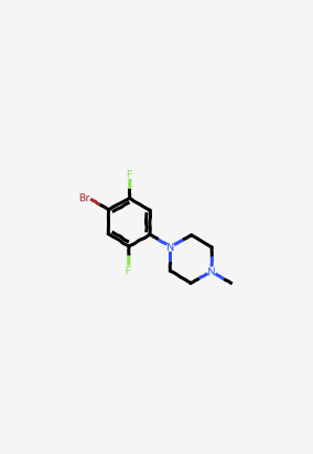 CN1CCN(c2cc(F)c(Br)cc2F)CC1